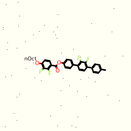 CCCCCCCCOc1ccc(C(=O)Oc2ccc(-c3ccc(-c4ccc(C)cc4)c(F)c3F)cc2)c(F)c1F